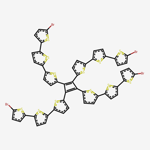 Brc1ccc(-c2ccc(-c3ccc(C4=C(c5ccc(-c6ccc(-c7ccc(Br)s7)s6)s5)C(c5ccc(-c6ccc(-c7ccc(Br)s7)s6)s5)=C4c4ccc(-c5ccc(-c6ccc(Br)s6)s5)s4)s3)s2)s1